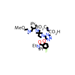 CCN(C(=O)c1cc(F)ccc1Oc1nncnc1N1CCC2(C1)CN([C@H](CC(C)C)C(C)CN(C)CCOC)C2)C(C)C.O=C(O)/C=C/C(=O)O